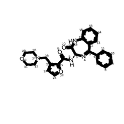 O=C(N[C@H]1N=C(c2ccccc2)c2ccccc2NC1=O)c1occc1CN1CCOCC1